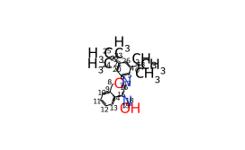 CC(C)(C)c1cc(OCc2ccccc2/C(C#N)=N\O)cc(C(C)(C)C)c1